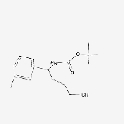 Cc1cccc(C(CCCO)NC(=O)OC(C)(C)C)c1